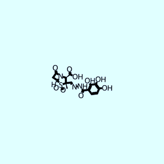 C[C@]1(/C=N/NC(=O)c2ccc(O)c(O)c2O)[C@H](C(=O)O)N2C(=O)C[C@H]2S1(=O)=O